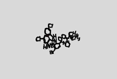 CN(C)C(=O)[C@H]1CCCN1C(=O)c1ccc(Br)cc1NC1(Cc2cccc(Cl)c2)C(=O)Nc2cc(Cl)ccc21